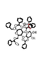 CC(C)(C)[Si](OC[C@H]1O[C@@H](O[C@H]2[C@H](OC(=O)c3ccccc3)[C@@H](OC(=O)c3ccccc3)[C@@H](OCc3ccccc3)O[C@@H]2COC(=O)c2ccccc2)[C@H](OC(=O)c2ccccc2)[C@@H](O)[C@H]1O)(c1ccccc1)c1ccccc1